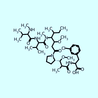 CCC(C)C(C(CC(=O)N1CCC[C@H]1C(OC)C(C)C(=O)NC(Cc1cccc(Cl)c1)C(=O)O)OC)N(C)C(=O)C(NC(=O)C(NC)C(C)C)C(C)C